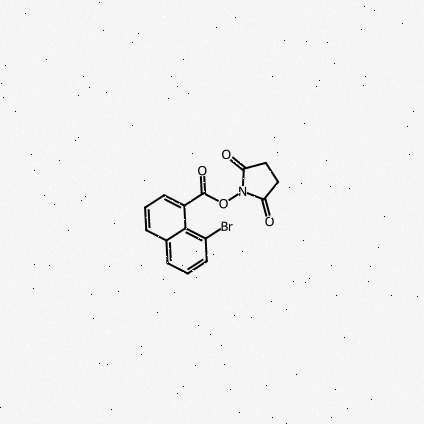 O=C(ON1C(=O)CCC1=O)c1cccc2cccc(Br)c12